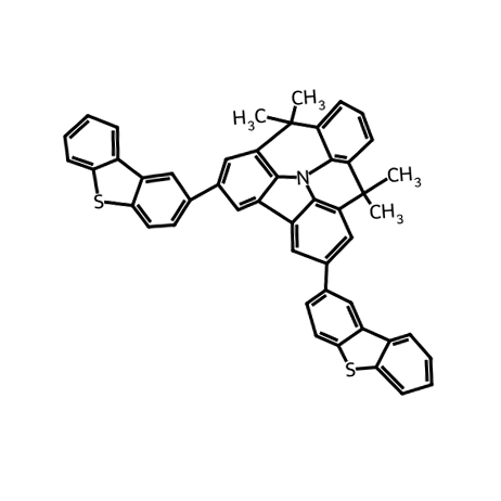 CC1(C)c2cccc3c2-n2c4c1cc(-c1ccc5sc6ccccc6c5c1)cc4c1cc(-c4ccc5sc6ccccc6c5c4)cc(c12)C3(C)C